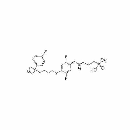 O=P(O)(O)CCCNCc1cc(F)c(SCCCCC2(c3ccc(F)cc3)COC2)cc1F